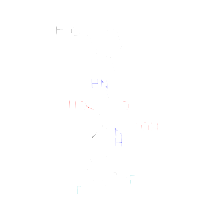 Cc1cccc(CNC[C@H](O)[C@H](Cc2cc(F)cc(F)c2)NC(=O)O)c1